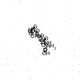 CC(=O)OC[C@@]1(C)[C@H](C(=O)OCOC(=O)[C@@H]2N3C(=O)[C@@H](NC(=O)C(N)c4ccc(O)cc4)[C@H]3SC2(C)C)N2C(=O)C[C@H]2S1(=O)=O